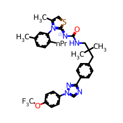 CCCc1ccc(C)cc1-n1c(C)cs/c1=N\C(=O)NCC(C)(C)Cc1ccc(-c2ncn(-c3ccc(OC(F)(F)F)cc3)n2)cc1